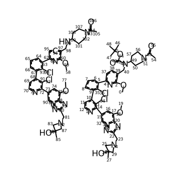 COc1nc(-c2cccc(-c3ccnc(-c4cc(OC)c5nc(CN6CC(C)(O)C6)nn5c4)c3Cl)c2Cl)ccc1CN(C(=O)OC(C)(C)C)C1CCN(C(C)=O)CC1.COc1nc(-c2cccc(-c3ccnc(-c4cc(OC)c5nc(CN6CC(C)(O)C6)nn5c4)c3Cl)c2Cl)ccc1CNC1CCN(C(C)=O)CC1